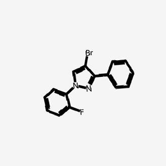 Fc1ccccc1-n1cc(Br)c(-c2ccccc2)n1